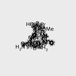 CC[C@H](C)[C@@H]([C@@H](CC(=O)N1CCC[C@H]1[C@H](OC)[C@@H](C)C(=O)N[C@H](CO)Cc1ccccc1)OC)N(C)C(=O)[C@@H](NC(=O)[C@H](CO)N(C)C(=O)OCc1ccc(NC(=O)[C@H](CCCNC(N)=O)NC(=O)[C@@H](NC(=O)[C@@H](CN)N2C(=O)C=CC2=O)C(C)C)cc1)C(C)C